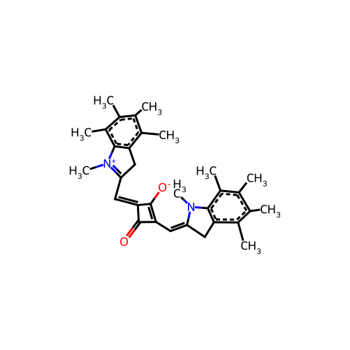 Cc1c(C)c(C)c2c(c1C)CC(=CC1=C([O-])C(=CC3=[N+](C)c4c(C)c(C)c(C)c(C)c4C3)C1=O)N2C